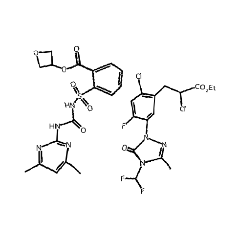 CCOC(=O)C(Cl)Cc1cc(-n2nc(C)n(C(F)F)c2=O)c(F)cc1Cl.Cc1cc(C)nc(NC(=O)NS(=O)(=O)c2ccccc2C(=O)OC2COC2)n1